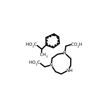 CC(C(=O)O)c1ccccc1.O=C(O)CN1CCNCCN(CC(=O)O)CC1